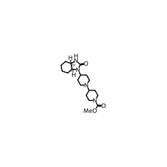 COC(=O)N1CCC(N2CCC(N3C(=O)N[C@H]4CCCC[C@@H]43)CC2)CC1